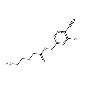 CCCCCC(=O)OOc1ccc(C#N)c(O)c1